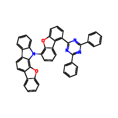 c1ccc(-c2nc(-c3ccccc3)nc(-c3cccc4oc5c(-n6c7ccccc7c7ccc8c9ccccc9oc8c76)cccc5c34)n2)cc1